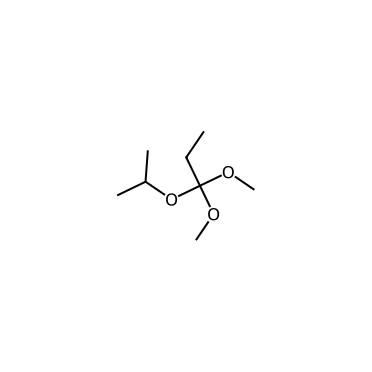 CCC(OC)(OC)OC(C)C